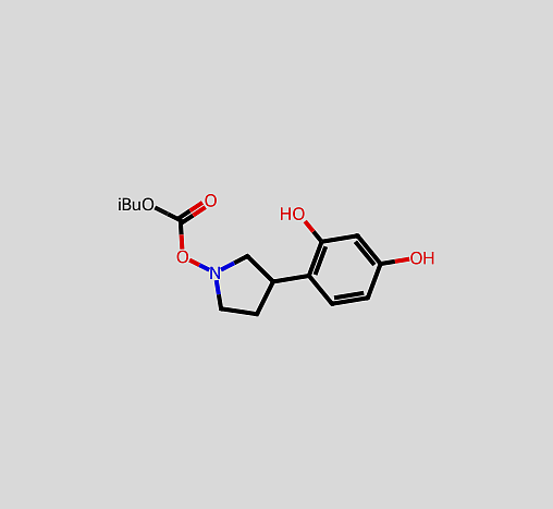 CC(C)COC(=O)ON1CCC(c2ccc(O)cc2O)C1